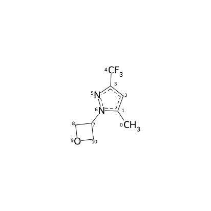 Cc1cc(C(F)(F)F)nn1C1COC1